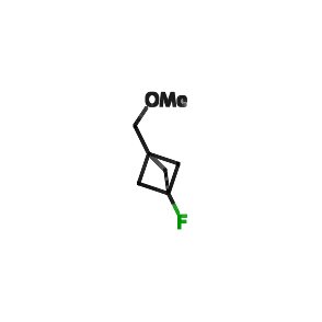 COCC12CC(F)(C1)C2